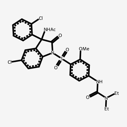 CCN(CC)C(=O)Nc1ccc(S(=O)(=O)N2C(=O)C(NC(C)=O)(c3ccccc3Cl)c3cc(Cl)ccc32)c(OC)c1